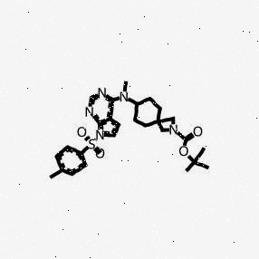 Cc1ccc(S(=O)(=O)n2ccc3c(N(C)C4CCC5(CC4)CN(C(=O)OC(C)(C)C)C5)ncnc32)cc1